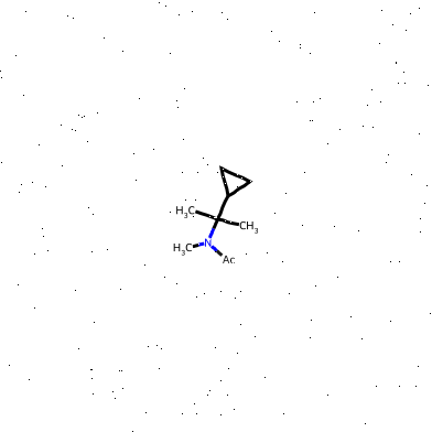 CC(=O)N(C)C(C)(C)C1CC1